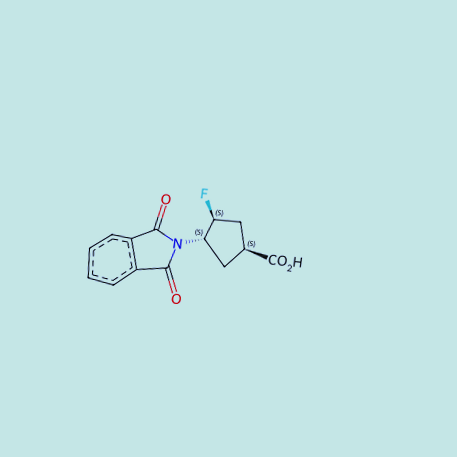 O=C(O)[C@@H]1C[C@H](F)[C@@H](N2C(=O)c3ccccc3C2=O)C1